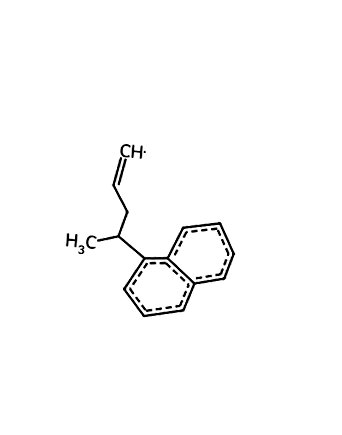 [CH]=CCC(C)c1cccc2ccccc12